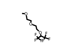 COCCOCCO[C](C(F)(F)F)C(F)(F)F